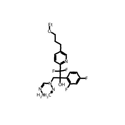 C=NN(/C=N\N)CC(O)(c1ccc(F)cc1F)C(F)(F)c1ccc(CCCOCC)cn1